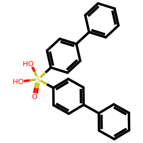 O=S(O)(O)(c1ccc(-c2ccccc2)cc1)c1ccc(-c2ccccc2)cc1